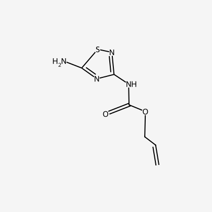 C=CCOC(=O)Nc1nsc(N)n1